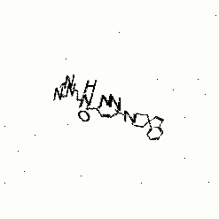 O=C(NCCn1cncn1)c1ccc(N2CCC3(C=Cc4ccccc43)CC2)nn1